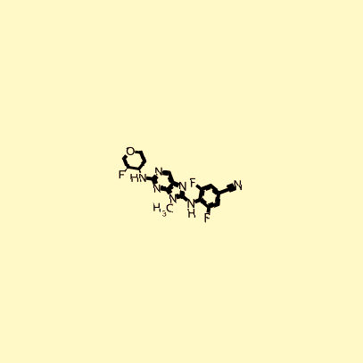 Cn1c(Nc2c(F)cc(C#N)cc2F)nc2cnc(N[C@H]3CCOC[C@H]3F)nc21